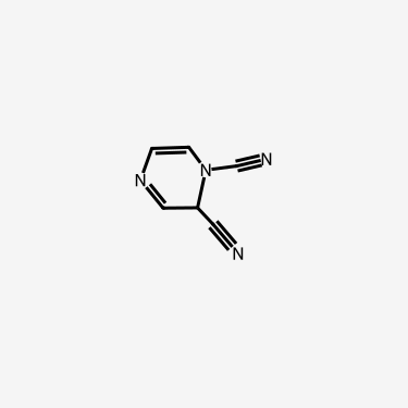 N#CC1C=NC=CN1C#N